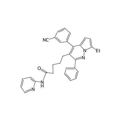 CCc1ccc2c(-c3cccc(C#N)c3)c(CCCCC(=O)Nc3ccccn3)c(-c3ccccc3)nn12